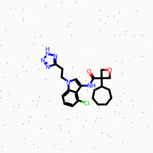 O=C(Nc1cn(CCc2nn[nH]n2)c2cccc(Cl)c12)C1(C2CCCCCC2)COC1